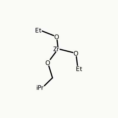 CC[O][Zr]([O]CC)[O]CC(C)C